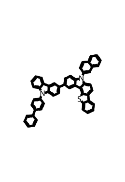 c1ccc(-c2ccc(-n3c4ccccc4c4cc(-c5ccc6c(c5)c5c7sc8ccccc8c7ccc5n6-c5ccc6ccccc6c5)ccc43)cc2)cc1